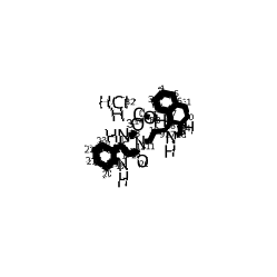 COc1cccc2c1[C@@H]1C(CCn3c(=O)[nH]c4c([nH]c5ccccc54)c3=O)NC[C@@H]1CC2.Cl